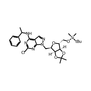 CC(Nc1nc(Cl)nc2c1cnn2C[C@H]1O[C@H](CO[Si](C)(C)C(C)(C)C)[C@H]2OC(C)(C)O[C@H]21)c1ccccc1